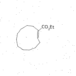 CCOC(=O)/C1=C\CCCCCCCCCC1